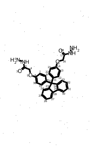 NNC(=O)COc1ccc(C2(c3ccc(OCC(=O)NN)cc3)c3ccccc3-c3ccccc32)cc1